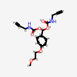 C#CCNC(=O)OC(OC(=O)NCC#C)c1ccc(OCCOC)cc1